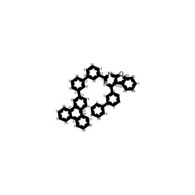 c1ccc(-c2cccc(-c3nc(-c4cccc(-c5cccc(-c6ccc7c8ccccc8c8ccccc8c7c6)c5)c4)nc4oc5ccccc5c34)c2)cc1